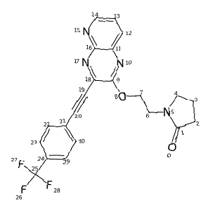 O=C1CCCN1CCOc1nc2cccnc2nc1C#Cc1ccc(C(F)(F)F)cc1